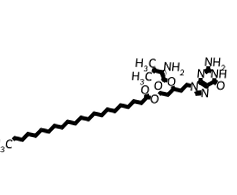 CCCCCCCCCCCCCCCCCCCCCC(=O)OCCC(CCn1cnc2c(=O)[nH]c(N)nc21)OC(=O)[C@@H](N)C(C)C